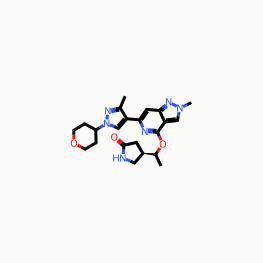 Cc1nn(C2CCOCC2)cc1-c1cc2nn(C)cc2c(OC(C)[C@H]2CNC(=O)C2)n1